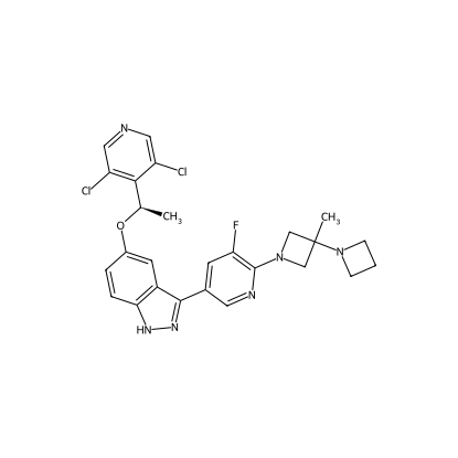 C[C@@H](Oc1ccc2[nH]nc(-c3cnc(N4CC(C)(N5CCC5)C4)c(F)c3)c2c1)c1c(Cl)cncc1Cl